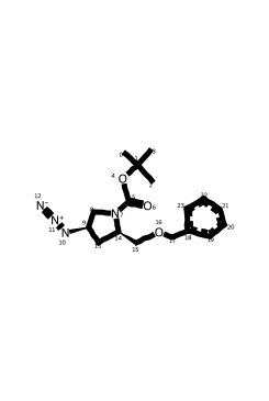 CC(C)(C)OC(=O)N1C[C@H](N=[N+]=[N-])C[C@@H]1COCc1ccccc1